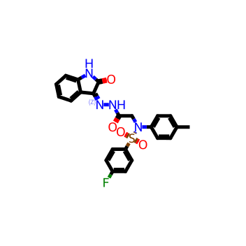 Cc1ccc(N(CC(=O)N/N=C2\C(=O)Nc3ccccc32)S(=O)(=O)c2ccc(F)cc2)cc1